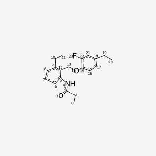 CCC(=O)Nc1cccc(CC)c1COc1ccc(CC)cc1F